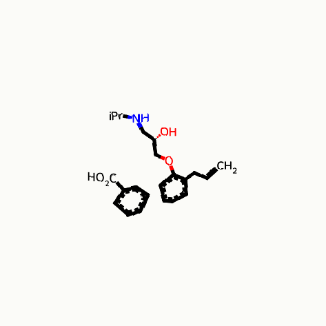 C=CCc1ccccc1OC[C@@H](O)CNC(C)C.O=C(O)c1ccccc1